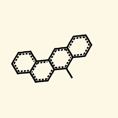 Cc1c2ccccc2cc2c1ccc1ccccc12